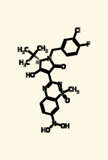 CC(C)(C)[C@H]1C(O)=C(C2=Nc3ccc(N(O)O)cc3S(C)(=O)=N2)C(=O)N1Cc1ccc(F)c(Cl)c1